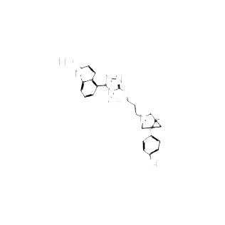 Cc1ccc2c(-c3nnc(SCCCN4C[C@@H]5C[C@@]5(c5ccc(Br)cc5)C4)n3C)cccc2n1